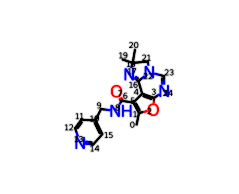 Cc1oc2c(c1C(=O)NCc1ccncc1)C1=NC(C)(C)CN1C=N2